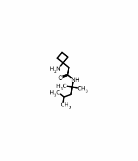 CC(C)CC(C)(C)NC(=O)CC1(N)CCC1